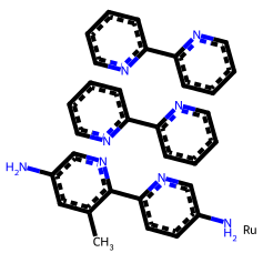 Cc1cc(N)cnc1-c1ccc(N)cn1.[Ru].c1ccc(-c2ccccn2)nc1.c1ccc(-c2ccccn2)nc1